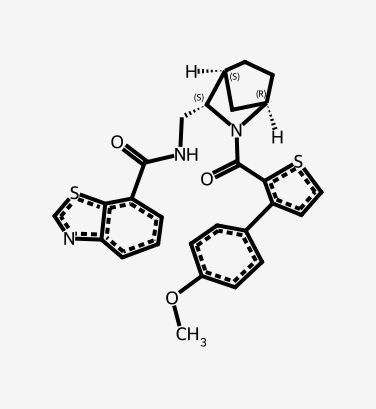 COc1ccc(-c2ccsc2C(=O)N2[C@@H]3CC[C@@H](C3)[C@H]2CNC(=O)c2cccc3ncsc23)cc1